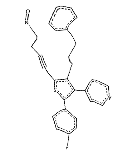 O=NCCC#Cc1sc(-c2ccc(F)cc2)c(-c2ccncc2)c1CCCc1ccccc1